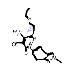 CCO/C=C/c1nn(-c2ccc3nn(C)cc3c2)c(=O)c(Cl)c1N